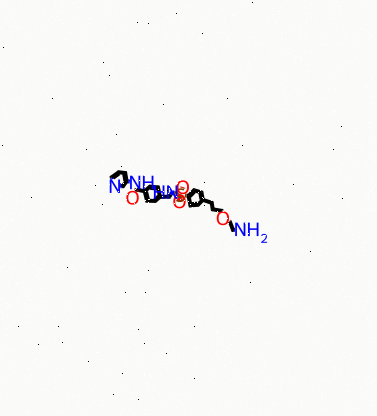 NCCOCCCc1ccc(S(=O)(=O)NCc2ccc(C(=O)Nc3cccnc3)cc2)cc1